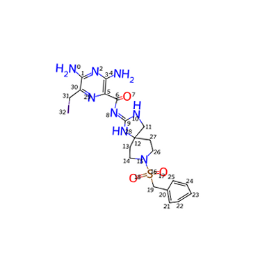 Nc1nc(N)c(C(=O)/N=C2\NCC3(CCN(S(=O)(=O)Cc4ccccc4)CC3)N2)nc1CI